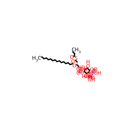 CCCCCCCCCCCCCCCC(=O)O[C@H](CCSC(=O)CCC)COP(=O)(O)OC1C(O)[C@@H](O)C(OP(=O)(O)O)[C@@H](OP(=O)(O)O)[C@H]1O